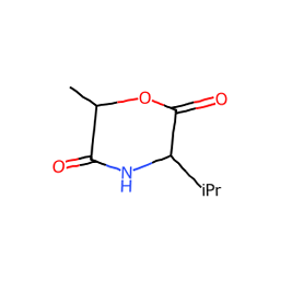 CC1OC(=O)C(C(C)C)NC1=O